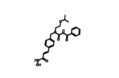 CC(C)OCCN(Cc1ccc(C=CC(=O)NO)cc1)C(=O)NC(=O)c1ccccc1